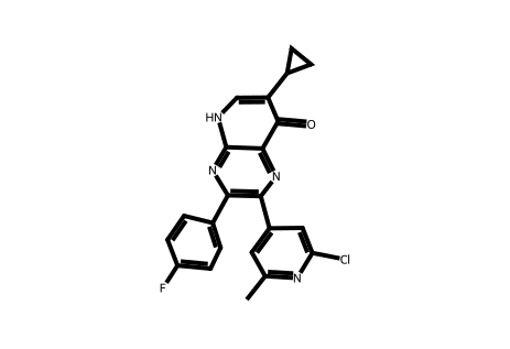 Cc1cc(-c2nc3c(=O)c(C4CC4)c[nH]c3nc2-c2ccc(F)cc2)cc(Cl)n1